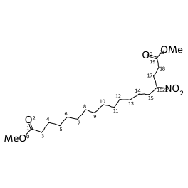 COC(=O)CCCCCCCCCCCCCC(CCC(=O)OC)[N+](=O)[O-]